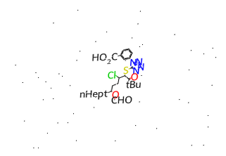 CCCCCCCC(CCC(Cl)C(Sc1nnnn1-c1cccc(C(=O)O)c1)C(=O)C(C)(C)C)O[C]=O